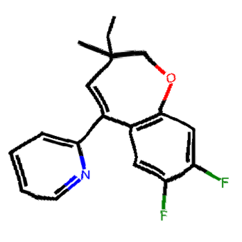 CC1(C)C=C(c2ccccn2)c2cc(F)c(F)cc2OC1